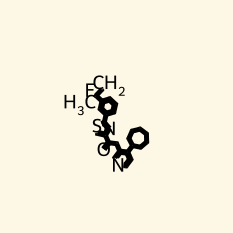 C=CC(C)(F)c1cccc(-c2nc(C(=O)Cc3cnccc3C3CCCCCC3)cs2)c1